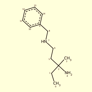 CCC(C)(N)CCNCc1ccccc1